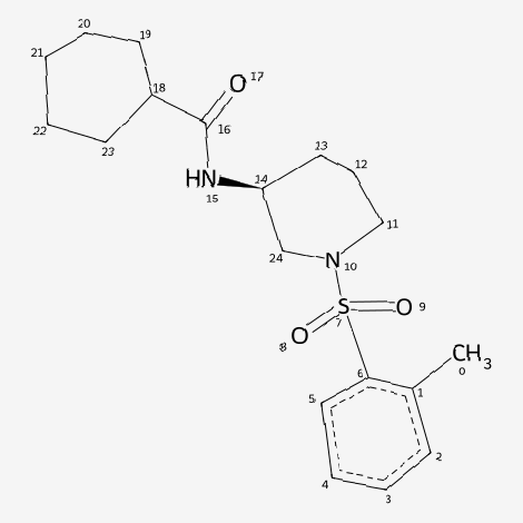 Cc1ccccc1S(=O)(=O)N1CCC[C@H](NC(=O)C2CCCCC2)C1